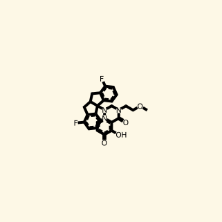 COCCN1CN(C23c4cccc(F)c4CC2Cc2c(F)cccc23)n2ccc(=O)c(O)c2C1=O